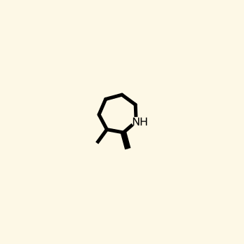 C=C1NCCCCC1C